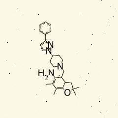 CC1=C(N)C(CN2CCC(n3ccc(-c4ccccc4)n3)CC2)C2CC(C)(C)OC2=C1C